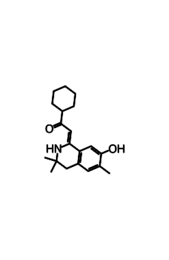 Cc1cc2c(cc1O)C(=CC(=O)C1CCCCC1)NC(C)(C)C2